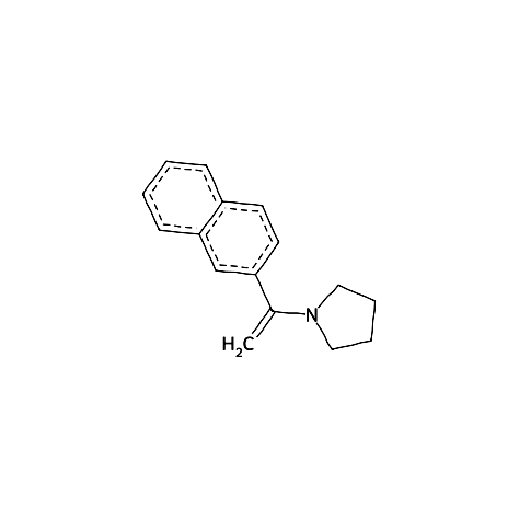 C=C(c1ccc2ccccc2c1)N1CCCC1